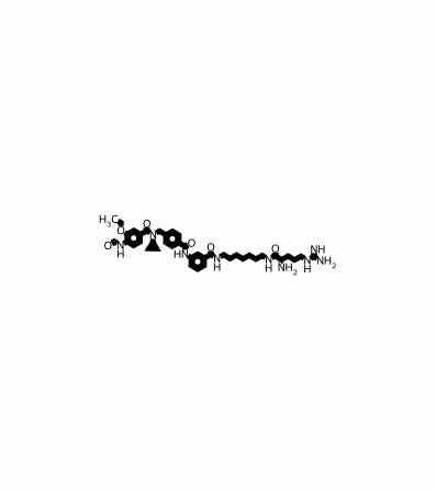 CCOc1cc(C(=O)N(Cc2ccc(C(=O)Nc3cccc(C(=O)NCCCCCCCNC(=O)[C@@H](N)CCCNC(=N)N)c3)cc2)C2CC2)ccc1NC=O